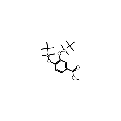 COC(=O)c1ccc(O[Si](C)(C)C(C)(C)C)c(O[Si](C)(C)C(C)(C)C)c1